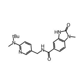 CN(c1ccc(CNC(=O)c2ccc3c(c2)[nH]c(=O)n3C)cn1)C(C)(C)C